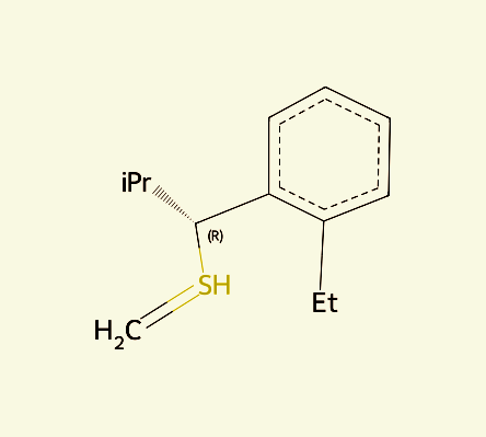 C=[SH][C@@H](c1ccccc1CC)C(C)C